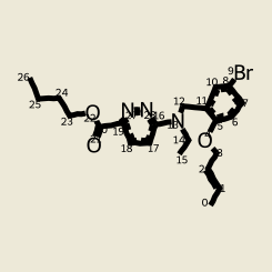 CC=CCOc1ccc(Br)cc1CN(CC)c1ccc(C(=O)OCCCC)nn1